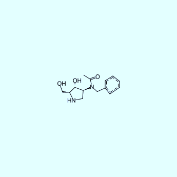 CC(=O)N(Cc1ccccc1)[C@H]1CN[C@@H](CO)[C@@H]1O